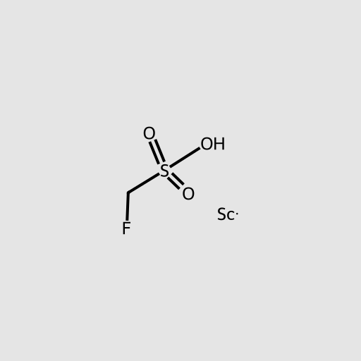 O=S(=O)(O)CF.[Sc]